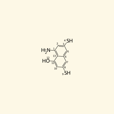 Nc1cc(S)cc2cc(S)cc(O)c12